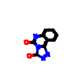 O=C1N=Nc2c3ccccc3nc(=O)n21